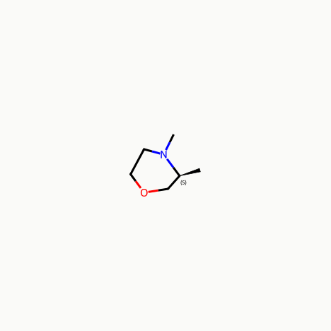 C[C@H]1COCCN1C